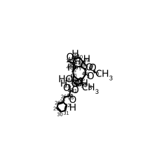 CC(=O)O[C@H]1C(=O)[C@]23C[C@H]2C[C@H]2OC[C@H]2[C@H]3C[C@]2(O)C[C@H](OC(=O)[C@H](O)Cc3ccccc3)C(C)=C1C2(C)C